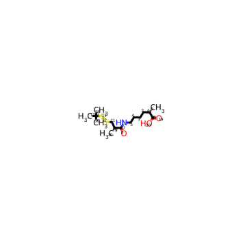 C[C@@H](CCCCNC(=O)[C@@H](C)CSSC(C)(C)C)C(=O)O